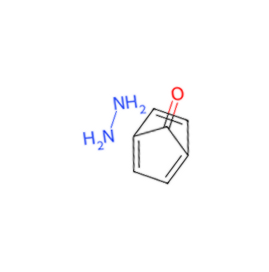 NN.O=C1C2=CC=C1C=C2